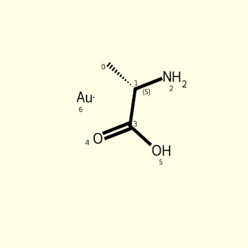 C[C@H](N)C(=O)O.[Au]